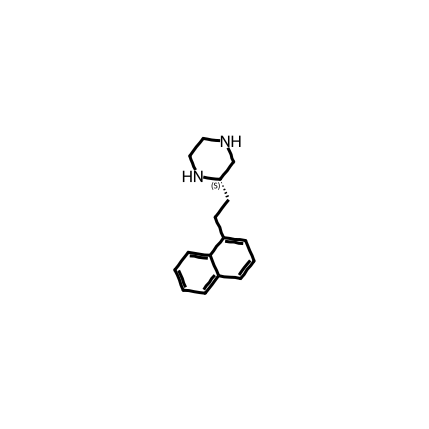 c1ccc2c(CC[C@H]3CNCCN3)cccc2c1